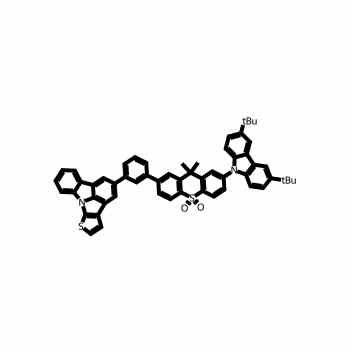 CC(C)(C)c1ccc2c(c1)c1cc(C(C)(C)C)ccc1n2-c1ccc2c(c1)C(C)(C)c1cc(-c3cccc(-c4cc5c6ccccc6n6c7sccc7c(c4)c56)c3)ccc1S2(=O)=O